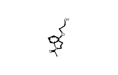 CC(=O)N1CCc2c(OCCO)cccc21